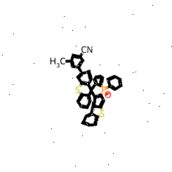 Cc1cc(C#N)cc(-c2ccc3c(c2)Sc2ccccc2C32c3ccccc3P(=O)(c3ccccc3)c3cc4sc5ccccc5c4cc32)c1